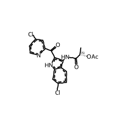 CC(=O)O[C@@H](C)C(=O)Nc1c(C(=O)c2cc(Cl)ccn2)[nH]c2cc(Cl)ccc12